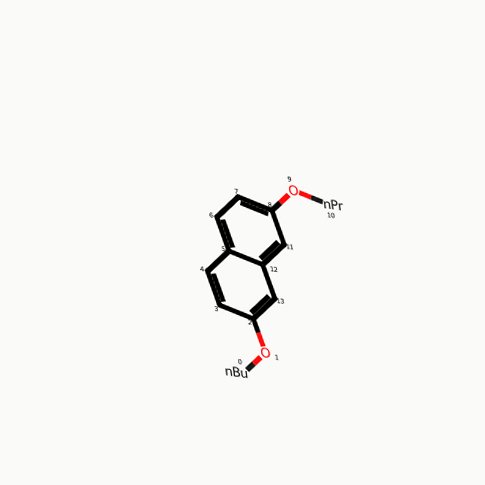 [CH2]CCCOc1ccc2ccc(OCCC)cc2c1